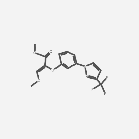 CO/C=C(\Oc1cccc(-n2ccc(C(F)(F)F)n2)c1)C(=O)OC